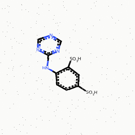 O=S(=O)(O)c1ccc(Nc2ncncn2)c(S(=O)(=O)O)c1